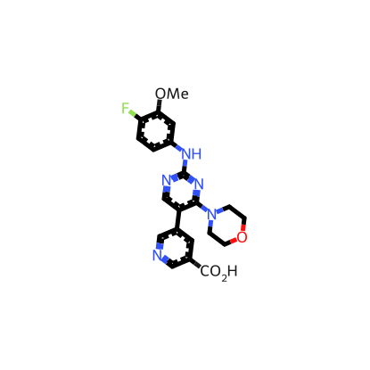 COc1cc(Nc2ncc(-c3cncc(C(=O)O)c3)c(N3CCOCC3)n2)ccc1F